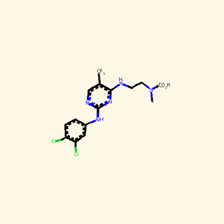 CN(CCNc1nc(Nc2ccc(Cl)c(Cl)c2)ncc1C(F)(F)F)C(=O)O